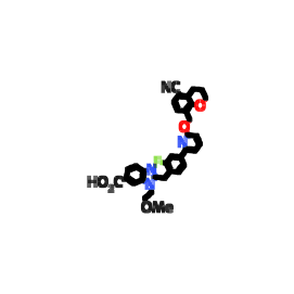 COCCn1c(Cc2ccc(-c3cccc(OCc4ccc(C#N)c5c4OCCC5)n3)cc2F)nc2ccc(C(=O)O)cc21